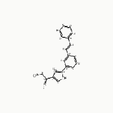 O=C(CCl)c1coc(-c2cccc(C=Cc3ccccc3)c2)n1